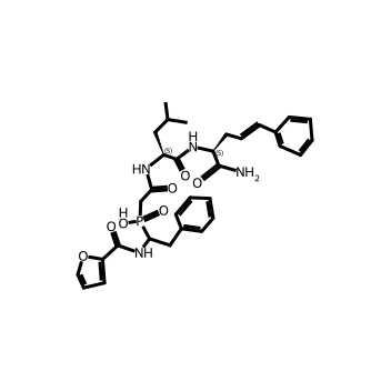 CC(C)C[C@H](NC(=O)CP(=O)(O)C(Cc1ccccc1)NC(=O)c1ccco1)C(=O)N[C@@H](CC=Cc1ccccc1)C(N)=O